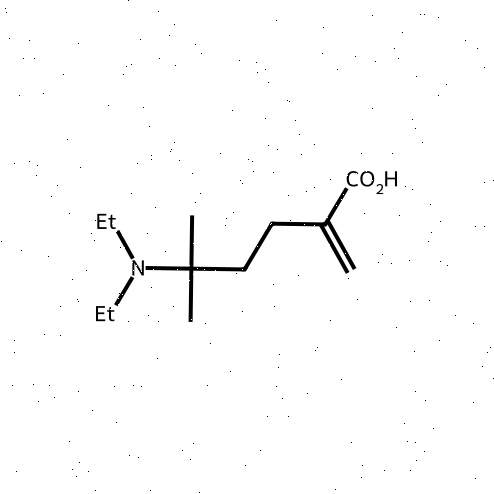 C=C(CCC(C)(C)N(CC)CC)C(=O)O